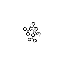 CC1(C)c2cc(N(c3ccccc3)c3ccccc3)ccc2-c2c1c1cccc3c1n2-c1cc(N(c2ccccc2)c2ccccc2)cc2c1B3c1ccccc1O2